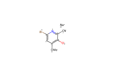 COc1cc(Br)nc(C#N)c1[O-].[Na+]